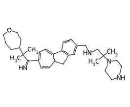 CC(C)(C(=N)C1=CC=C2c3ccc(CNCC(C)(C)N4CCNCC4)cc3CC2C=C1)C1CCCOCC1